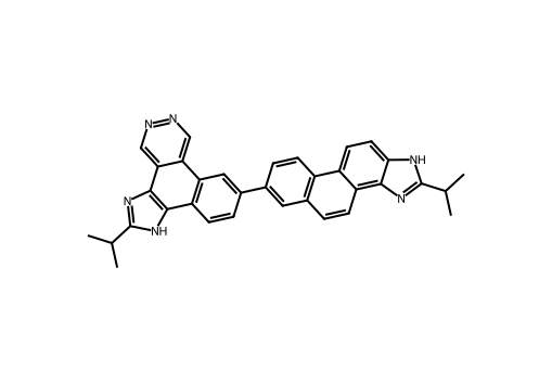 CC(C)c1nc2c(ccc3c4ccc(-c5ccc6c(c5)c5cnncc5c5nc(C(C)C)[nH]c65)cc4ccc32)[nH]1